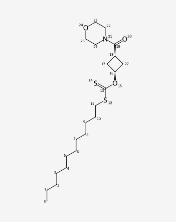 CCCCCCCCCCCCSC(=S)O[C@H]1C[C@@H](C(=O)N2CCOCC2)C1